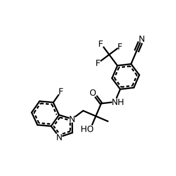 CC(O)(Cn1cnc2cccc(F)c21)C(=O)Nc1ccc(C#N)c(C(F)(F)F)c1